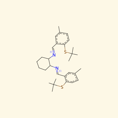 Cc1ccc(SC(C)(C)C)c(/C=N/C2CCCCC2/N=C/c2cc(C)ccc2SC(C)(C)C)c1